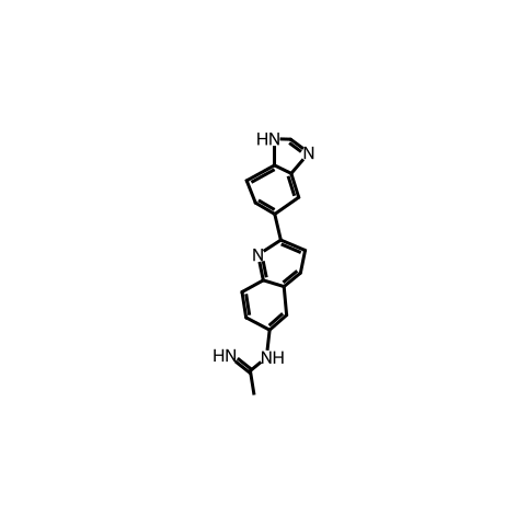 CC(=N)Nc1ccc2nc(-c3ccc4[nH]cnc4c3)ccc2c1